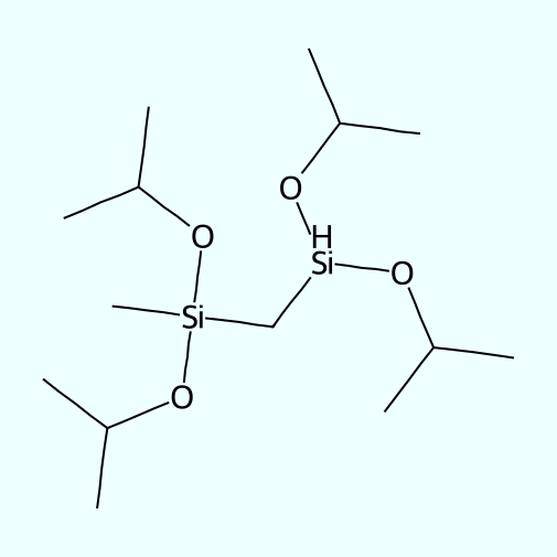 CC(C)O[SiH](C[Si](C)(OC(C)C)OC(C)C)OC(C)C